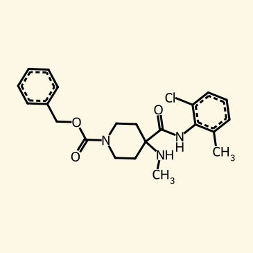 CNC1(C(=O)Nc2c(C)cccc2Cl)CCN(C(=O)OCc2ccccc2)CC1